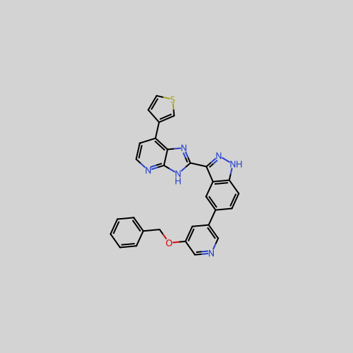 c1ccc(COc2cncc(-c3ccc4[nH]nc(-c5nc6c(-c7ccsc7)ccnc6[nH]5)c4c3)c2)cc1